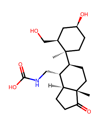 C[C@@]1([C@H]2CC[C@]3(C)C(=O)CC[C@H]3[C@@H]2CNC(=O)O)CC[C@H](O)C[C@@H]1CO